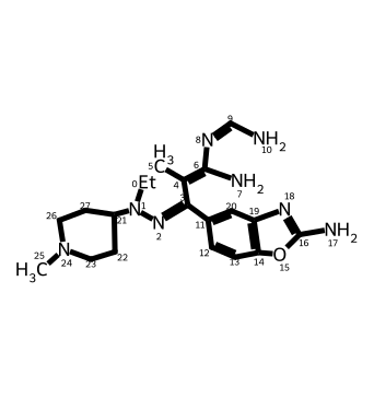 CCN(\N=C(/C(C)=C(N)/N=C\N)c1ccc2oc(N)nc2c1)C1CCN(C)CC1